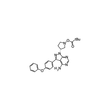 CC(C)(C)C(=O)ON1CC[C@@H](n2nc(-c3ccc(Oc4ccccc4)cc3)c3c(N)ncnc32)C1